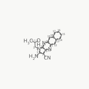 CC(O)Cn1c(N)c(C#N)c2nc3cc4ccccc4cc3nc21